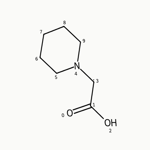 O=C(O)[CH]N1CCCCC1